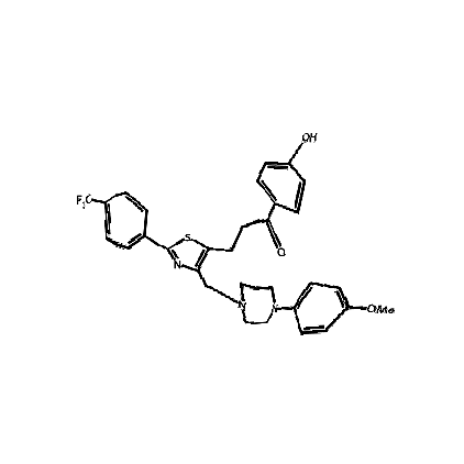 COc1ccc(N2CCN(Cc3nc(-c4ccc(C(F)(F)F)cc4)sc3CCC(=O)c3ccc(O)cc3)CC2)cc1